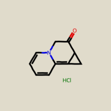 Cl.O=C1CN2C=CC=CC2=C2CC12